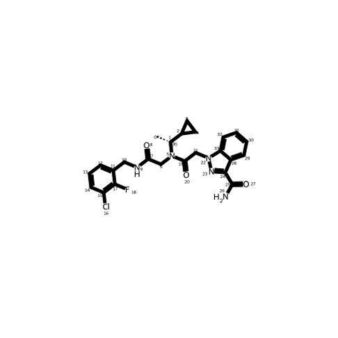 C[C@H](C1CC1)N(CC(=O)NCc1cccc(Cl)c1F)C(=O)Cn1nc(C(N)=O)c2ccccc21